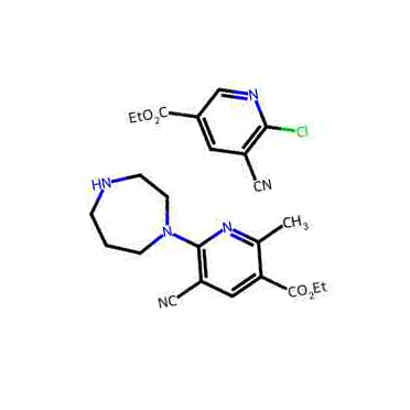 CCOC(=O)c1cc(C#N)c(N2CCCNCC2)nc1C.CCOC(=O)c1cnc(Cl)c(C#N)c1